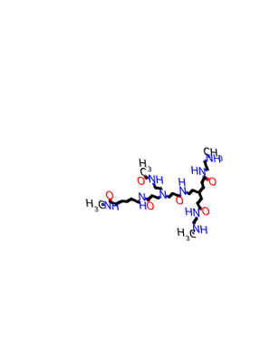 CNCCNC(=O)CCC(CCNC(=O)CCN(CCNC(C)=O)CCC(=O)NCCCCCC(=O)NC)CCC(=O)NCCNC